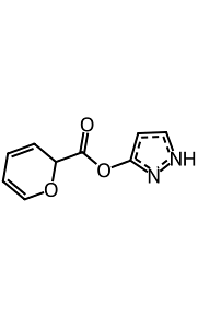 O=C(Oc1cc[nH]n1)C1C=CC=CO1